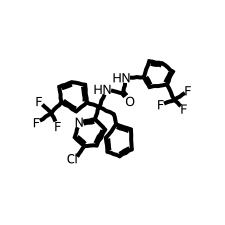 O=C(Nc1cccc(C(F)(F)F)c1)NC(Cc1ccccc1)(c1cccc(C(F)(F)F)c1)c1ccc(Cl)cn1